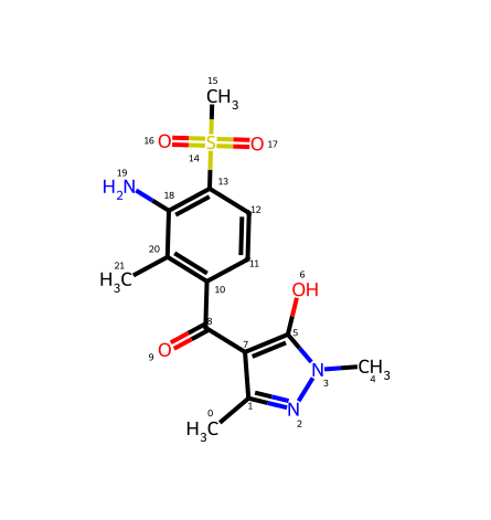 Cc1nn(C)c(O)c1C(=O)c1ccc(S(C)(=O)=O)c(N)c1C